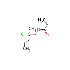 C=CC(=O)OC[Si](C)(Cl)CCC